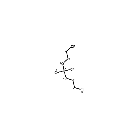 ClCC[O][Zr]([Cl])([Cl])[O]CCCl